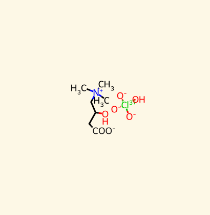 C[N+](C)(C)CC(O)CC(=O)[O-].[O-][Cl+3]([O-])([O-])O